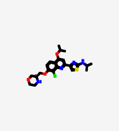 CC(C)Nc1nc(-c2cc(OC(C)C)c3ccc(OC[C@@H]4COCCN4)c(Cl)c3n2)cs1